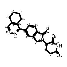 O=C1CCC(N2Cc3cc(-c4nncc5c4CCCC5)ccc3C2=O)C(=O)N1